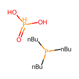 CCCCP(CCCC)CCCC.O=[PH](O)O